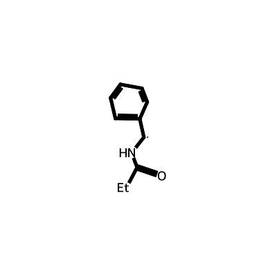 CCC(=O)N[CH]c1ccccc1